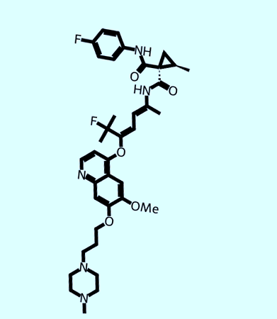 COc1cc2c(O/C(=C/C=C(\C)NC(=O)[C@]3(C(=O)Nc4ccc(F)cc4)C[C@H]3C)C(C)(C)F)ccnc2cc1OCCCN1CCN(C)CC1